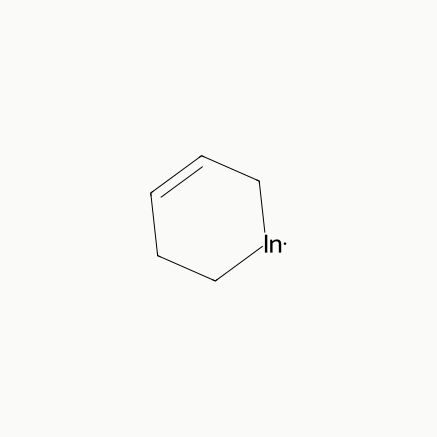 C1=C[CH2][In][CH2]C1